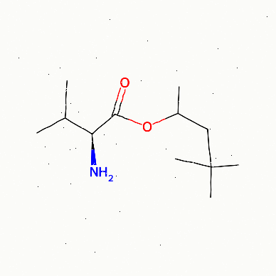 CC(CC(C)(C)C)OC(=O)[C@@H](N)C(C)C